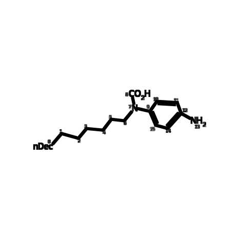 CCCCCCCCCCCCCCCCN(C(=O)O)c1ccc(N)cc1